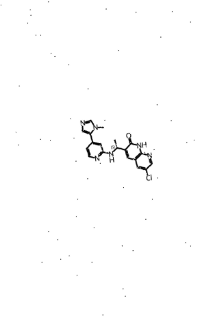 C[C@H](Nc1cc(-c2cncn2C)ccn1)c1cc2cc(Cl)cnc2[nH]c1=O